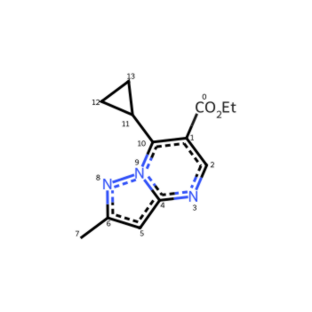 CCOC(=O)c1cnc2cc(C)nn2c1C1CC1